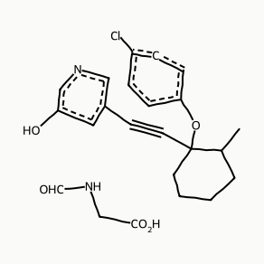 CC1CCCCC1(C#Cc1cncc(O)c1)Oc1ccc(Cl)cc1.O=CNCC(=O)O